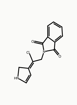 O=C1c2ccccc2C(=O)N1CC(Cl)=C1C=CNC1